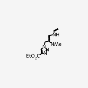 C=CN/C=C(/Cn1cc(C(=O)OCC)nn1)NC